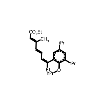 CCCOc1c(\C(=C/C=C/C(C)=C/C(=O)OCC)CC)cc(C(C)C)cc1C(C)C